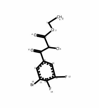 CCOC(=O)C(Cl)C(=O)c1cc(F)c(F)c(Br)c1